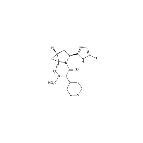 CN(C(=O)O)[C@H](C(=O)N1[C@@H]2C[C@@H]2C[C@H]1c1ncc(I)[nH]1)C1CCOCC1